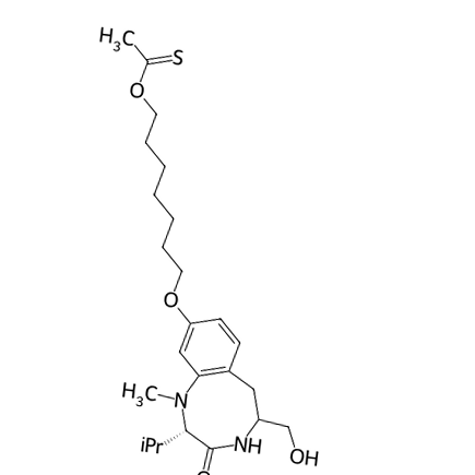 CC(=S)OCCCCCCCOc1ccc2c(c1)N(C)[C@@H](C(C)C)C(=O)NC(CO)C2